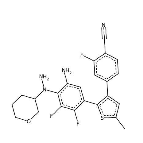 Cc1cc(-c2ccc(C#N)c(F)c2)c(-c2cc(N)c(N(N)C3CCCOC3)c(F)c2F)s1